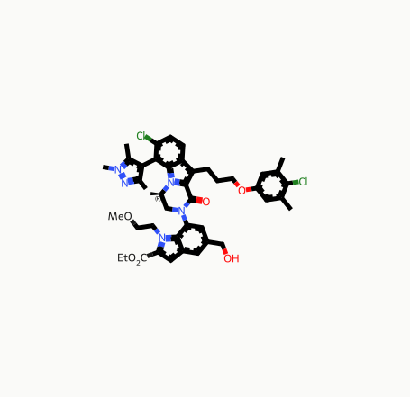 CCOC(=O)c1cc2cc(CO)cc(N3C[C@@H](C)n4c(c(CCCOc5cc(C)c(Cl)c(C)c5)c5ccc(Cl)c(-c6c(C)nn(C)c6C)c54)C3=O)c2n1CCOC